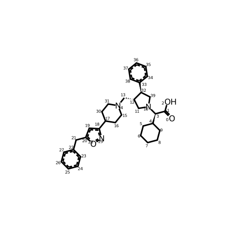 O=C(O)[C@@H](C1CCCCC1)N1C[C@H](CN2CCC(c3cc(Cc4ccccc4)on3)CC2)[C@@H](c2ccccc2)C1